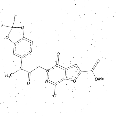 COC(=O)c1cc2c(=O)n(CC(=O)N(C)c3ccc4c(c3)OC(F)(F)O4)nc(Cl)c2o1